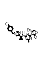 CC[C@H]1COC(=O)N1c1nc(C)nc(NC2(c3cn(Cc4ccc(Cl)cc4)cn3)CC2)n1